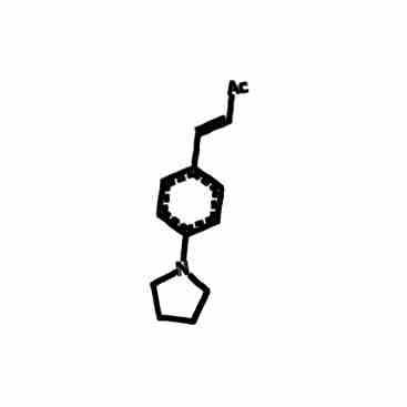 CC(=O)C=Cc1ccc(N2CCCC2)cc1